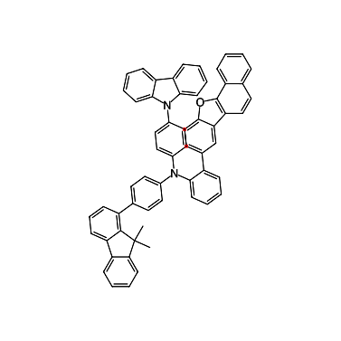 CC1(C)c2ccccc2-c2cccc(-c3ccc(N(c4ccc(-n5c6ccccc6c6ccccc65)cc4)c4ccccc4-c4ccc5oc6c7ccccc7ccc6c5c4)cc3)c21